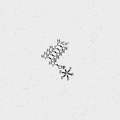 CC#N.CC#N.CC#N.CC#N.CC#N.CC#N.F[P-](F)(F)(F)(F)F.[Cu+]